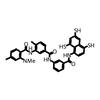 CNc1cc(C)ccc1C(=O)Nc1cc(C(=O)Nc2cccc(C(=O)Nc3ccc(S)c4cc(S)cc(S)c34)c2)ccc1C